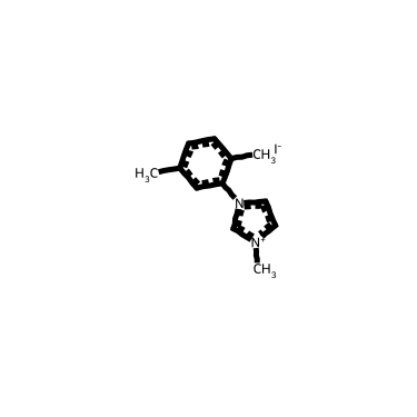 Cc1ccc(C)c(-n2cc[n+](C)c2)c1.[I-]